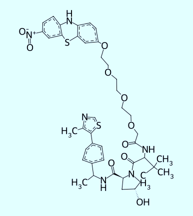 Cc1ncsc1-c1ccc(C(C)NC(=O)[C@@H]2C[C@@H](O)CN2C(=O)C(NC(=O)COCCOCCOCCOc2ccc3c(c2)Sc2cc([N+](=O)[O-])ccc2N3)C(C)(C)C)cc1